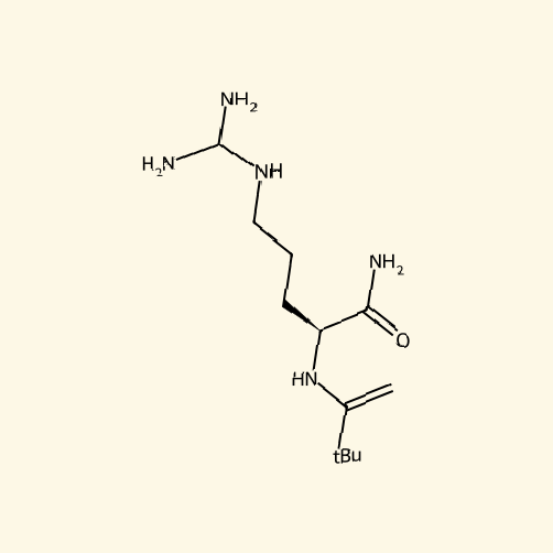 C=C(N[C@@H](CCCNC(N)N)C(N)=O)C(C)(C)C